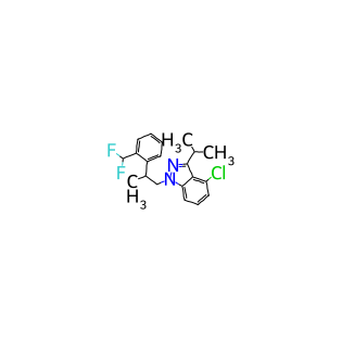 CC(C)c1nn(CC(C)c2ccccc2C(F)F)c2cccc(Cl)c12